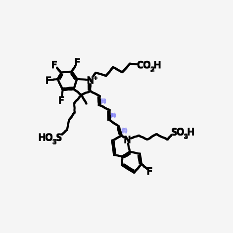 CC1(CCCCS(=O)(=O)O)C(/C=C/C=C/C=C2\C=Cc3ccc(F)cc3N2CCCCS(=O)(=O)O)=[N+](CCCCCC(=O)O)c2c(F)c(F)c(F)c(F)c21